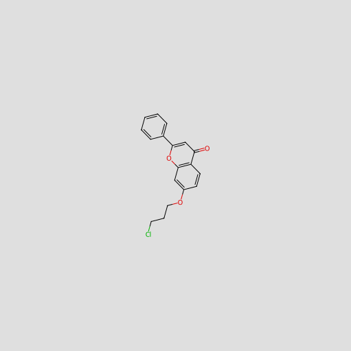 O=c1cc(-c2ccccc2)oc2cc(OCCCCl)ccc12